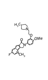 COc1ccc(N2Cc3c(cc4cc(F)cn(C)c3-4)C2=O)cc1OCCN1CCC(C)CC1